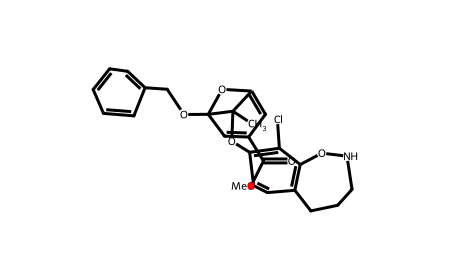 COC(=O)C1=CC2(OCc3ccccc3)OC(=C1)C2(C)Oc1ccc2c(c1Cl)ONCCC2